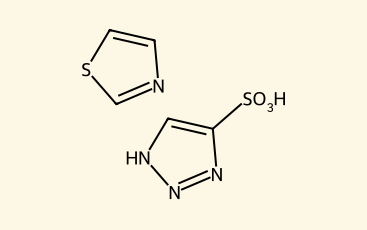 O=S(=O)(O)c1c[nH]nn1.c1cscn1